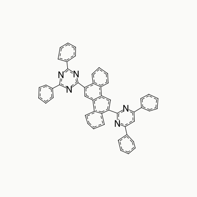 c1ccc(-c2cc(-c3ccccc3)nc(-c3cc4c5ccccc5c(-c5nc(-c6ccccc6)nc(-c6ccccc6)n5)cc4c4ccccc34)n2)cc1